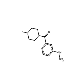 CN1CCC(C(=O)c2cccc(NN)c2)CC1